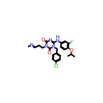 C/N=C/CCn1c(=O)nc(Nc2ccc(OC(C)C)c(F)c2)n(Cc2ccc(Cl)cc2)c1=O